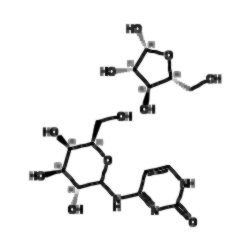 O=c1nc(NC2O[C@H](CO)[C@H](O)[C@H](O)[C@H]2O)cc[nH]1.OC[C@H]1O[C@@H](O)[C@@H](O)[C@@H]1O